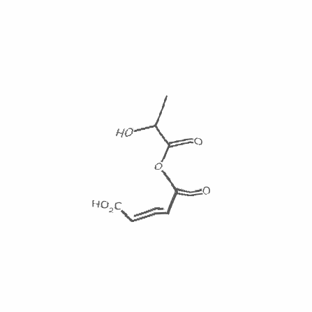 CC(O)C(=O)OC(=O)/C=C\C(=O)O